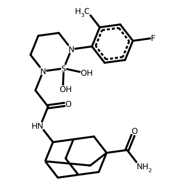 Cc1cc(F)ccc1N1CCCN(CC(=O)NC2C3CC4CC2CC(C(N)=O)(C4)C3)S1(O)O